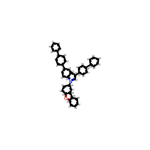 c1ccc(-c2ccc(-c3ccc4c(c3)c(-c3ccc(-c5ccccc5)cc3)cn4-c3ccc4oc5ccccc5c4c3)cc2)cc1